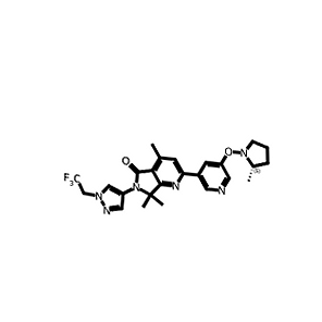 Cc1cc(-c2cncc(ON3CCC[C@@H]3C)c2)nc2c1C(=O)N(c1cnn(CC(F)(F)F)c1)C2(C)C